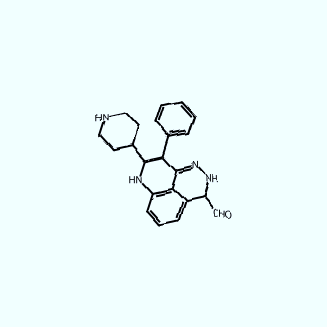 O=CC1NN=C2c3c(cccc31)NC(C1CCNCC1)C2c1ccccc1